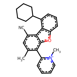 Cc1cc(C#N)c2c(oc3cccc(C4CCCCC4)c32)c1-c1cccc[n+]1C